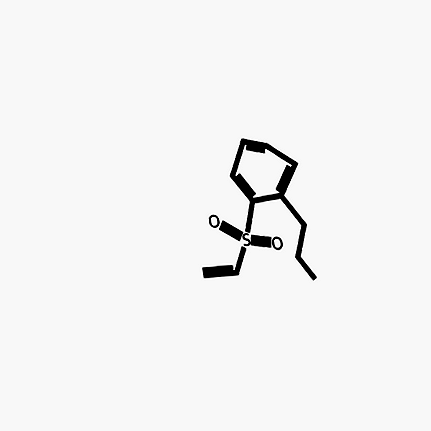 C=CS(=O)(=O)c1ccccc1CCC